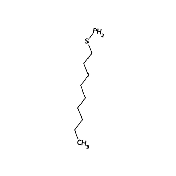 CCCCCCCCCSP